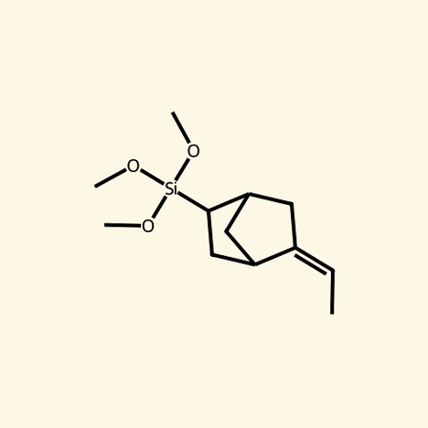 CC=C1CC2CC1CC2[Si](OC)(OC)OC